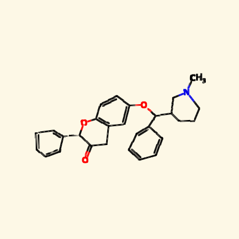 CN1CCCC(C(Oc2ccc3c(c2)CC(=O)C(c2ccccc2)O3)c2ccccc2)C1